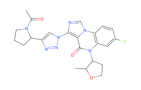 CC(=O)N1CCCC1c1cn(-c2ncn3c2c(=O)n(C2CCOC2C)c2cc(F)ccc23)nn1